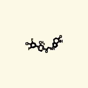 C[C@@H]1CN(C(=O)CNc2ccc3c(c2)CCC(=O)N3)CCN1c1cc(F)c(Cl)c(F)c1